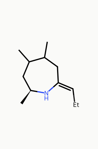 CC/C=C1/CC(C)C(C)C[C@H](C)N1